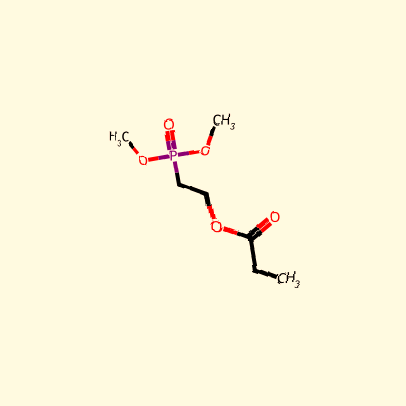 CCC(=O)OCCP(=O)(OC)OC